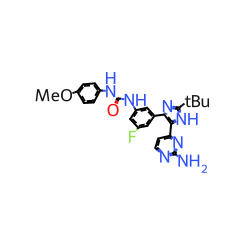 COc1ccc(NC(=O)Nc2cc(F)cc(-c3nc(C(C)(C)C)[nH]c3-c3ccnc(N)n3)c2)cc1